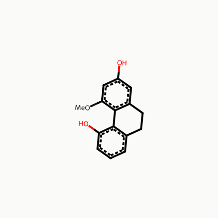 COc1cc(O)cc2c1-c1c(O)cccc1CC2